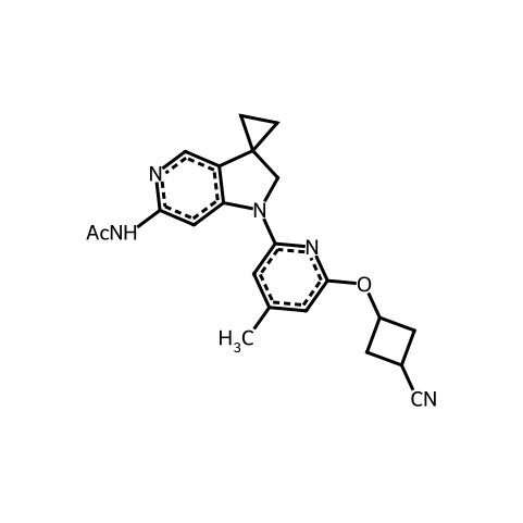 CC(=O)Nc1cc2c(cn1)C1(CC1)CN2c1cc(C)cc(OC2CC(C#N)C2)n1